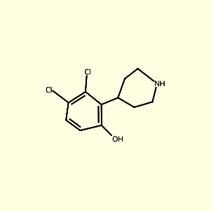 Oc1ccc(Cl)c(Cl)c1C1CCNCC1